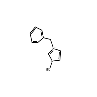 CC(C)(C)n1cc[n+](Cc2ccccc2)c1